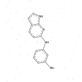 CC(C)(C)c1cccc(Nc2ccc3cc[nH]c3n2)c1